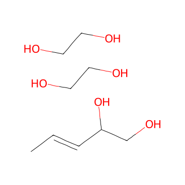 CC=CC(O)CO.OCCO.OCCO